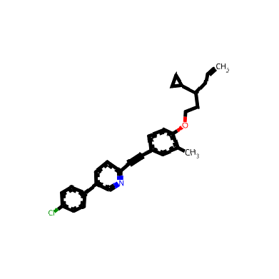 C=CC[C](CCOc1ccc(C#Cc2ccc(-c3ccc(Cl)cc3)cn2)cc1C)C1CC1